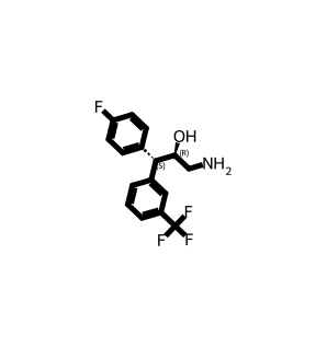 NC[C@H](O)[C@@H](c1ccc(F)cc1)c1cccc(C(F)(F)F)c1